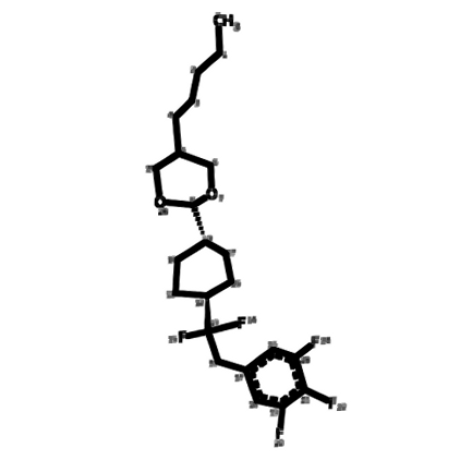 CCCCCC1COC([C@H]2CC[C@H](C(F)(F)Cc3cc(F)c(F)c(F)c3)CC2)OC1